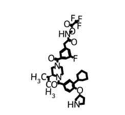 CC(C)[C@H]1CN(C(=O)c2cc(F)cc(CC(=O)NOC(=O)C(F)(F)F)c2)CCN1C(=O)c1ccc(O[C@H]2CCNC2)c(C2CCCCC2)c1